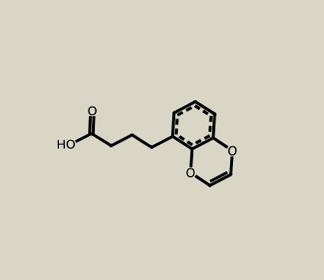 O=C(O)CCCc1cccc2c1OC=CO2